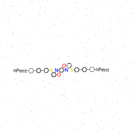 CCCCCC1CCC(c2ccc(-c3ccc(SC4=CC=CC5Oc6cc7c(cc6=NC45)Oc4cccc(Sc5ccc(-c6ccc(C8CCC(CCCCC)CC8)cc6)cc5)c4N=7)cc3)cc2)CC1